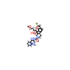 CNCC(CC1CCCCC1)NC(=O)N1CCCC(C(O)(CCCCOC)c2cccc3cc(F)oc23)C1